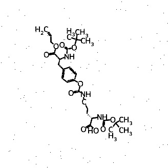 C=CCOC(=O)[C@H](Cc1ccc(OC(=O)NCCC[C@H](NC(=O)OC(C)(C)C)C(=O)O)cc1)NC(=O)OC(C)(C)C